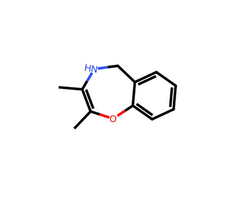 CC1=C(C)Oc2ccccc2CN1